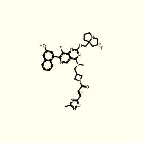 Cc1noc(/C=C/C(=O)N2CC(CN(C)c3nc(OCC45CCCN4C[C@H](F)C5)nc4c(F)c(-c5cc(O)cc6ccccc56)ncc34)C2)n1